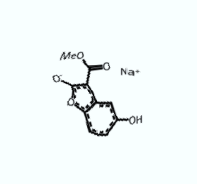 COC(=O)c1c([O-])oc2ccc(O)cc12.[Na+]